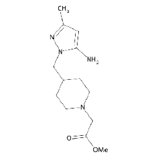 COC(=O)CN1CCC(Cn2nc(C)cc2N)CC1